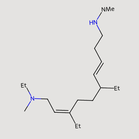 CC/C(=C/CN(C)CC)CCC(C=CCCNNC)CC